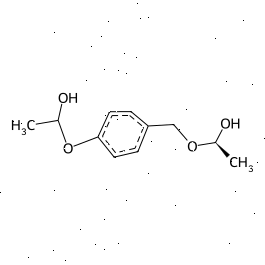 CC(O)Oc1ccc(CO[C@H](C)O)cc1